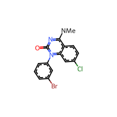 CNc1nc(=O)n(-c2cccc(Br)c2)c2cc(Cl)ccc12